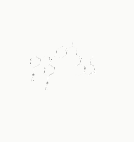 CC(CCNC(=O)c1c(Cl)cncc1Cl)N1CCC(N(Cc2cccc(C#N)c2)c2ccc(C#N)cc2)CC1